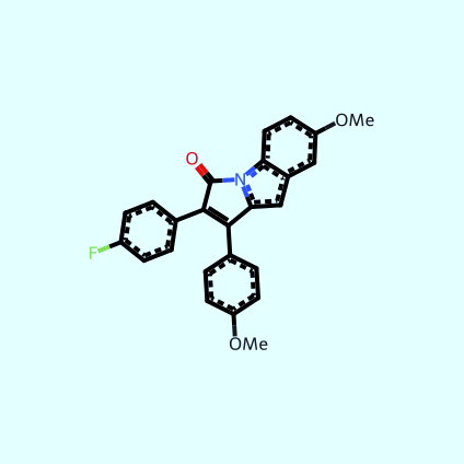 COc1ccc(C2=C(c3ccc(F)cc3)C(=O)n3c2cc2cc(OC)ccc23)cc1